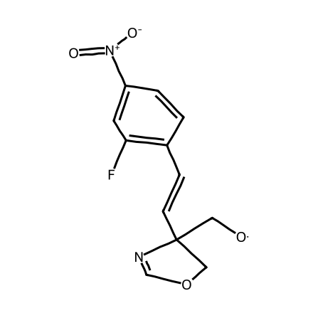 [O]CC1(/C=C/c2ccc([N+](=O)[O-])cc2F)COC=N1